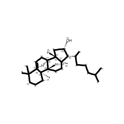 CC(C)CCCC(C)[C@H]1[C@@H](O)C[C@H]2[C@@H]3CC=C4C(C)(C)CCC[C@]4(C)[C@H]3CC[C@@]21C